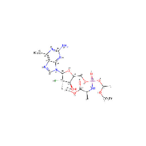 CCOC(=O)OC(C)OP(=O)(N[C@@H](C)C(=O)OC(C)C)OCC1OC(n2cnc3c(OC)nc(N)nc32)[C@](C)(F)[C@@H]1O